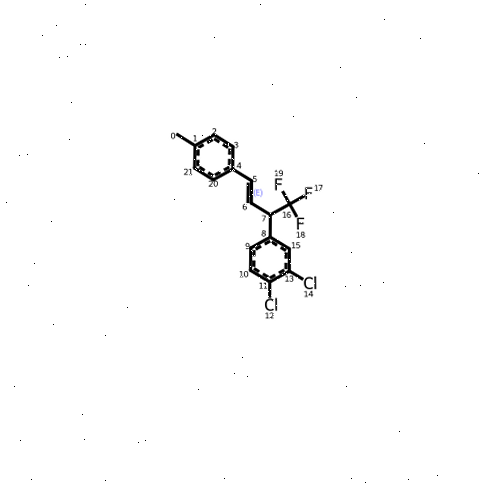 Cc1ccc(/C=C/C(c2ccc(Cl)c(Cl)c2)C(F)(F)F)cc1